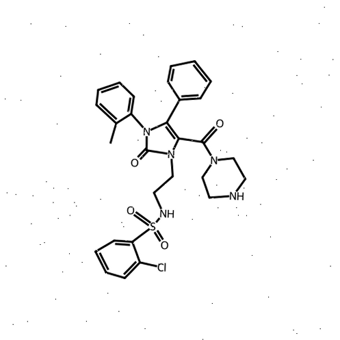 Cc1ccccc1-n1c(-c2ccccc2)c(C(=O)N2CCNCC2)n(CCNS(=O)(=O)c2ccccc2Cl)c1=O